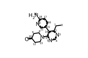 CCc1ncnc(N2CCC(=O)CC2)c1-c1ccc(N)nc1